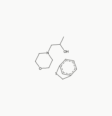 CC(O)CN1CCOCC1.c1cc2cc(c1)SC2